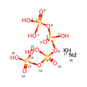 O=P(O)(O)OP(=O)(O)OP(=O)(O)OP(=O)(O)O.[KH].[Nd]